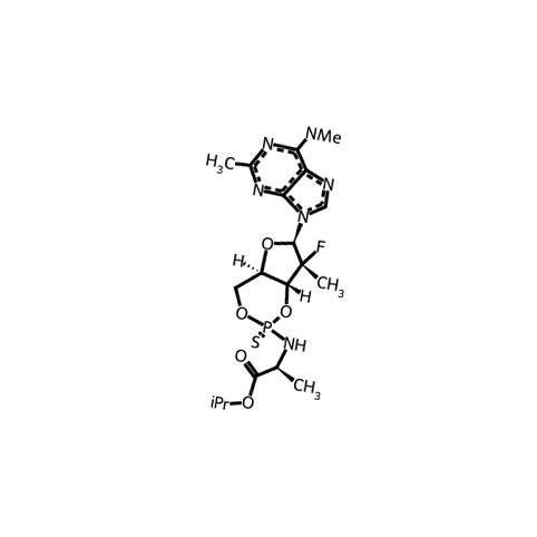 CNc1nc(C)nc2c1ncn2[C@@H]1O[C@@H]2COP(=S)(N[C@@H](C)C(=O)OC(C)C)O[C@H]2[C@@]1(C)F